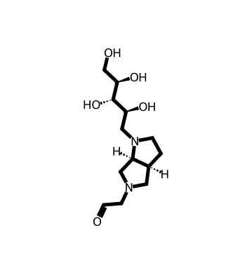 O=CCN1C[C@@H]2CCN(C[C@H](O)[C@H](O)[C@H](O)CO)[C@@H]2C1